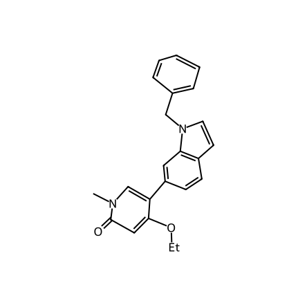 CCOc1cc(=O)n(C)cc1-c1ccc2ccn(Cc3ccccc3)c2c1